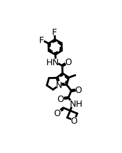 Cc1c(C(=O)Nc2ccc(F)c(F)c2)c2n(c1C(=O)C(=O)NC1(C=O)COC1)CCC2